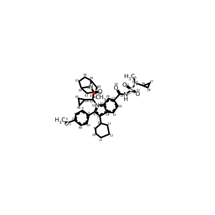 COc1ccc(-c2c(C3CCCCC3)c3ccc(C(=O)NS(=O)(=O)N(C)C4CC4)cc3n2C(C(=O)N2C3CCC2CN(C)C3)C2CC2)cc1